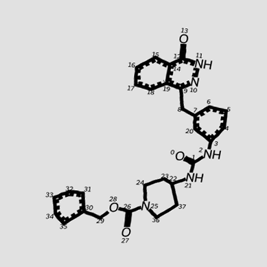 O=C(Nc1cccc(Cc2n[nH]c(=O)c3ccccc23)c1)NC1CCN(C(=O)OCc2ccccc2)CC1